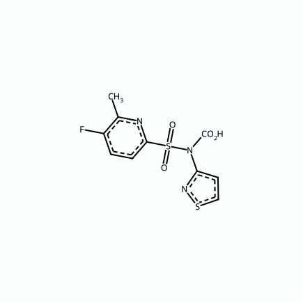 Cc1nc(S(=O)(=O)N(C(=O)O)c2ccsn2)ccc1F